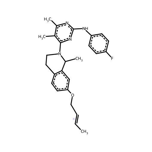 C/C=C/COc1ccc2c(c1)C(C)N(c1nc(Nc3ccc(F)cc3)nc(C)c1C)CC2